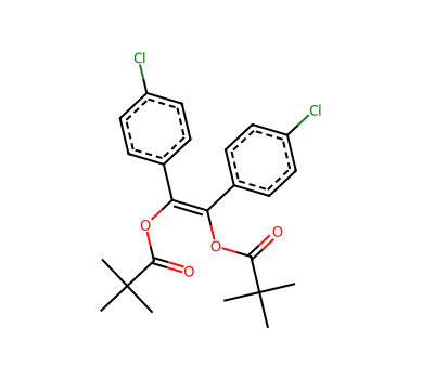 CC(C)(C)C(=O)OC(=C(OC(=O)C(C)(C)C)c1ccc(Cl)cc1)c1ccc(Cl)cc1